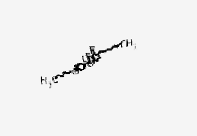 CCCCCCCCc1ccc(OC(=O)c2ccc(OCCCCCC)cc2)c(F)c1F